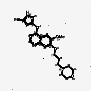 CCc1cc(Oc2ncnc3cc(OCCCN4CCOCC4)c(OC)cc23)n[nH]1